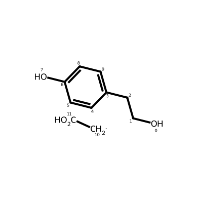 OCCc1ccc(O)cc1.[CH2]C(=O)O